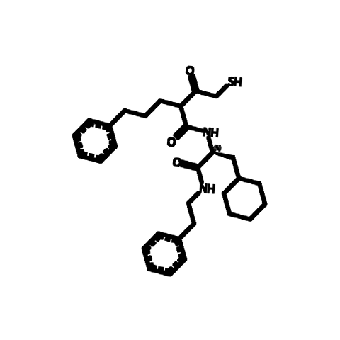 O=C(CS)C(CCCc1ccccc1)C(=O)N[C@@H](CC1CCCCC1)C(=O)NCCc1ccccc1